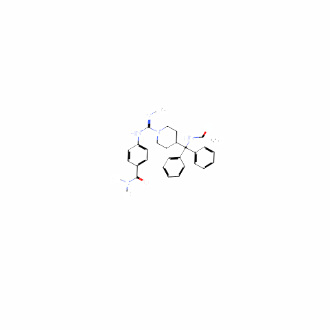 CCN(CC)C(=O)c1ccc(N/C(=N/C#N)N2CCC(C(NC(=O)OC)(c3ccccc3)c3ccccc3)CC2)cc1